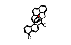 O=C1C=CC=c2c1ccc1c2=CC=C2C34C5=CC=C6C=C(C=CC63)C[C@@]2(CC4=CC=C5)C1=O